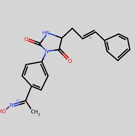 C/C(=N\O)c1ccc(N2C(=O)NC(C/C=C/c3ccccc3)C2=O)cc1